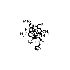 CSCC[C@H](NC(=O)[C@@H](C)Cn1nc(C)cc1C)C(=O)N[C@@H](CC(C)C)[C@@H](O)C[C@@H](C)C(=O)N[C@H](C(=O)NCc1ccco1)C(C)C